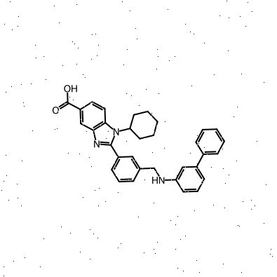 O=C(O)c1ccc2c(c1)nc(-c1cccc(CNc3cccc(-c4ccccc4)c3)c1)n2C1CCCCC1